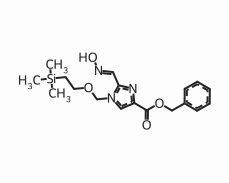 C[Si](C)(C)CCOCn1cc(C(=O)OCc2ccccc2)nc1/C=N/O